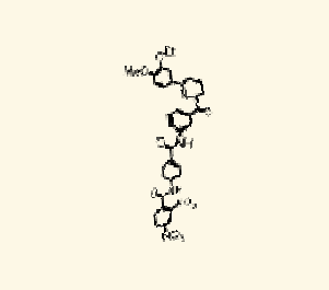 CCOc1cc(C2=NN(C(=O)c3cccc(NC(=O)c4ccc(NC(=O)c5ccc([N+](=O)[O-])cc5[N+](=O)[O-])cc4)c3)CCC2)ccc1OC